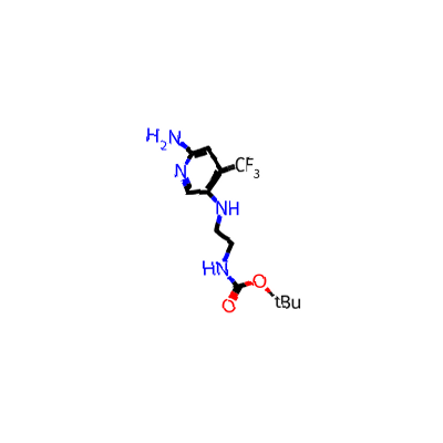 CC(C)(C)OC(=O)NCCNc1cnc(N)cc1C(F)(F)F